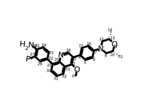 COc1c(-c2ccc(N3C[C@@H](C)O[C@@H](C)C3)cc2)cnc2c(-c3ccc(N)c(F)c3)cccc12